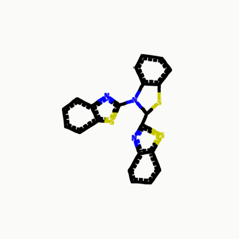 [c]1cccc2c1N(c1nc3ccccc3s1)C(c1nc3ccccc3s1)S2